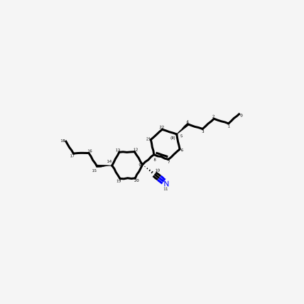 CCCCC[C@H]1CC=C([C@]2(C#N)CC[C@H](CCCC)CC2)CC1